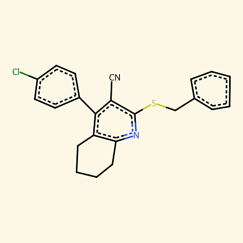 N#Cc1c(SCc2ccccc2)nc2c(c1-c1ccc(Cl)cc1)CCCC2